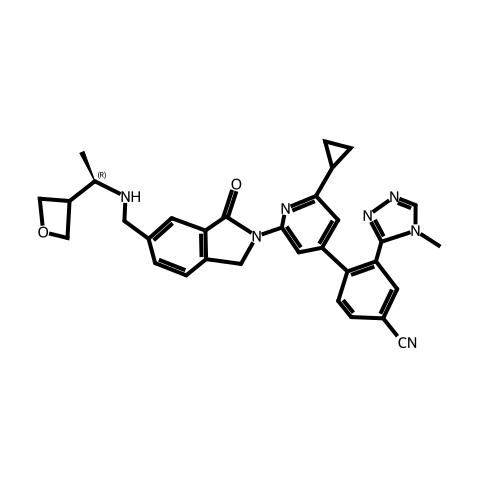 C[C@@H](NCc1ccc2c(c1)C(=O)N(c1cc(-c3ccc(C#N)cc3-c3nncn3C)cc(C3CC3)n1)C2)C1COC1